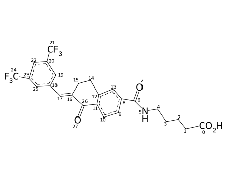 O=C(O)CCCCNC(=O)c1ccc2c(c1)CC/C(=C\c1cc(C(F)(F)F)cc(C(F)(F)F)c1)C2=O